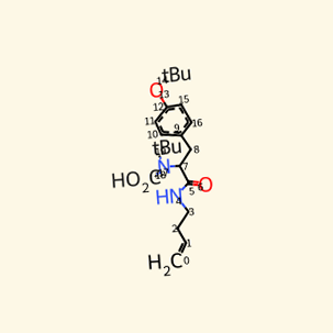 C=CCCNC(=O)C(Cc1ccc(OC(C)(C)C)cc1)N(C(=O)O)C(C)(C)C